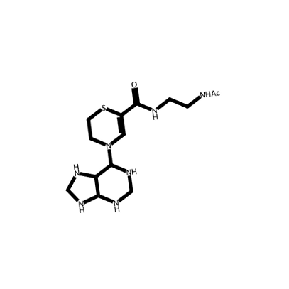 CC(=O)NCCNC(=O)C1=CN(C2NCNC3NCNC32)CCS1